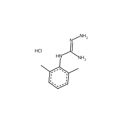 Cc1cccc(C)c1N/C(N)=N/N.Cl